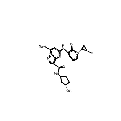 CNc1cc(Nc2cccn([C@@H]3C[C@H]3F)c2=O)nc2c(C(=O)N[C@@H]3CC[C@H](O)C3)cnn12